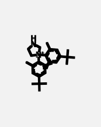 Cc1cc(C(C)(C)C)cc(C)c1[N+]1(c2c(C)cc(C(C)(C)C)cc2C)CCNC1